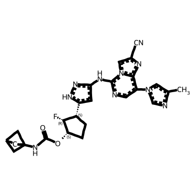 Cc1cn(-c2cnc(Nc3cc([C@@H]4CC[C@H](OC(=O)NC56CC(C5)C6)[C@@H]4F)[nH]n3)n3cc(C#N)nc23)cn1